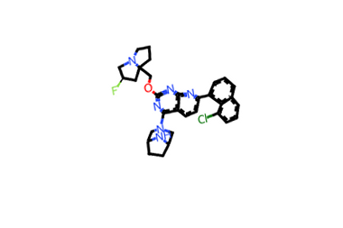 F[C@H]1CN2CCCC2(COc2nc(N3CC4CCC(C3)N4)c3ccc(-c4cccc5cccc(Cl)c45)nc3n2)C1